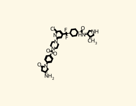 C[C@H]1CNC[C@@H]1NC(=O)[C@H]1CC[C@H](C(F)(F)c2cc(Cl)nc(N3CCN(S(=O)(=O)c4ccc(N5C[C@H](N)CC5=O)cc4)CC3)c2)CC1